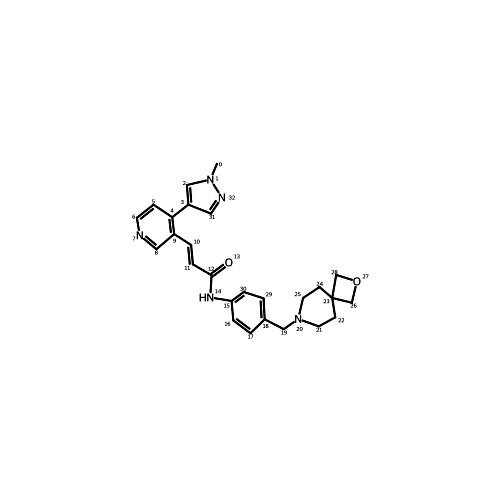 Cn1cc(-c2ccncc2C=CC(=O)Nc2ccc(CN3CCC4(CC3)COC4)cc2)cn1